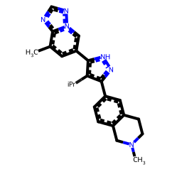 Cc1cc(-c2[nH]nc(-c3ccc4c(c3)CCN(C)C4)c2C(C)C)cn2ncnc12